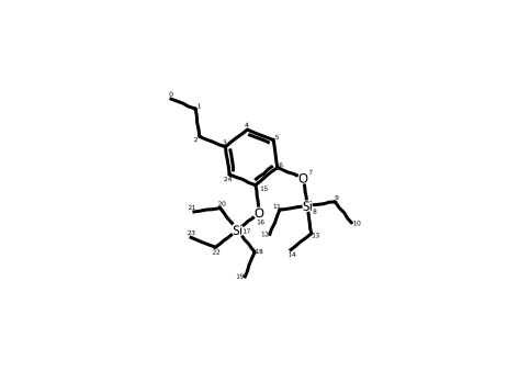 CCCc1ccc(O[Si](CC)(CC)CC)c(O[Si](CC)(CC)CC)c1